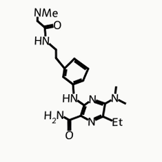 CCc1nc(C(N)=O)c(Nc2cccc(CCNC(=O)CNC)c2)nc1N(C)C